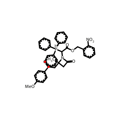 COc1ccc(C(=O)CC2(C)CC(=O)N2C(C(=O)OCc2ccccc2[N+](=O)[O-])[PH](c2ccccc2)(c2ccccc2)c2ccccc2)cc1